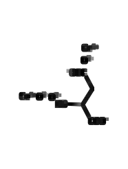 O=C([O-])CC(O)C(=O)[O-].[Ge+4].[Ge+4].[O-2].[O-2].[O-2]